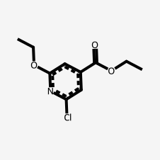 CCOC(=O)c1cc(Cl)nc(OCC)c1